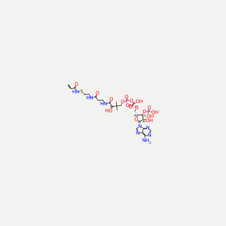 C=CC(=O)NSCCNC(=O)CCNC(=O)[C@H](O)C(C)(C)COP(=O)(O)OP(=O)(O)OC[C@H]1O[C@@H](n2cnc3c(N)ncnc32)[C@H](O)[C@@H]1OP(=O)(O)O